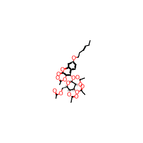 CCC=CCCOc1ccc2c(O[C@@H]3O[C@H](COC(C)=O)[C@@H](OC(C)=O)[C@H](OC(C)=O)[C@H]3OC(C)=O)c(OC(C)=O)c(=O)oc2c1